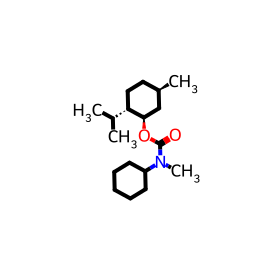 CC(C)[C@@H]1CC[C@@H](C)C[C@H]1OC(=O)N(C)C1CCCCC1